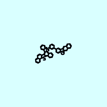 c1cc(-c2ccc3oc4cc5ccccc5cc4c3c2)cc(-n2c3ccccc3c3c4c5ccc6ccccc6c5sc4c4ccccc4c32)c1